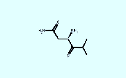 CC(C)C(=O)[C@H](N)CC(N)=O